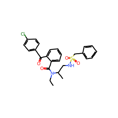 CCN(C(=O)c1ccccc1C(=O)c1ccc(Cl)cc1)C(C)CNS(=O)(=O)Cc1ccccc1